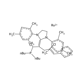 CCCCP(CCCC)C(Cl)C(CC(Cl)=Cc1ccccc1)=C1N(c2c(C)cc(C)cc2C)CCN1c1c(C)cc(C)cc1C.[Ru+2]